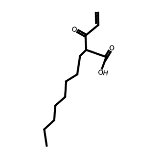 C=CC(=O)C(CCCCCCCC)C(=O)O